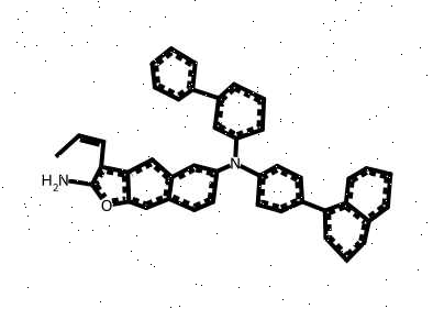 C/C=C\c1c(N)oc2cc3ccc(N(c4ccc(-c5cccc6ccccc56)cc4)c4cccc(-c5ccccc5)c4)cc3cc12